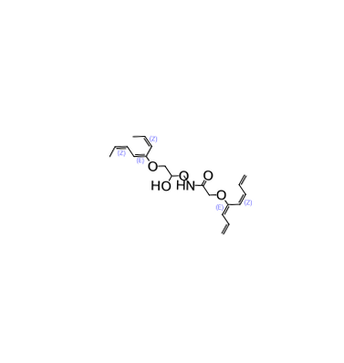 C=C/C=C\C(=C/C=C)OCC(=O)NOC(O)COC(/C=C\C)=C/C=C\C